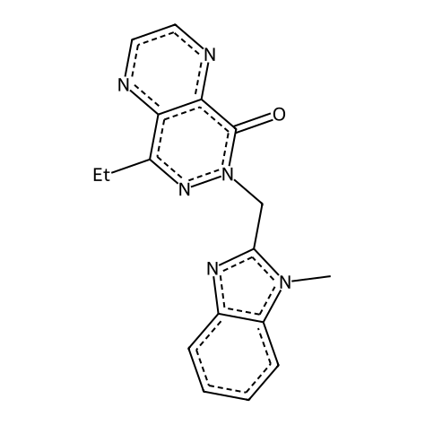 CCc1nn(Cc2nc3ccccc3n2C)c(=O)c2nccnc12